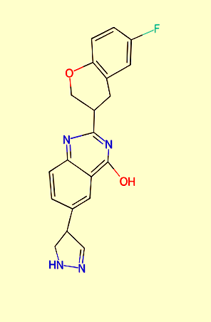 Oc1nc(C2COc3ccc(F)cc3C2)nc2ccc(C3C=NNC3)cc12